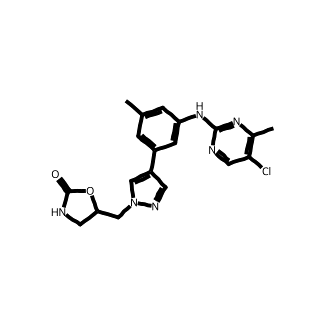 Cc1cc(Nc2ncc(Cl)c(C)n2)cc(-c2cnn(CC3CNC(=O)O3)c2)c1